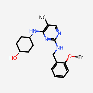 CC(C)Oc1ccccc1CNc1ncc(C#N)c(N[C@H]2CC[C@@H](O)CC2)n1